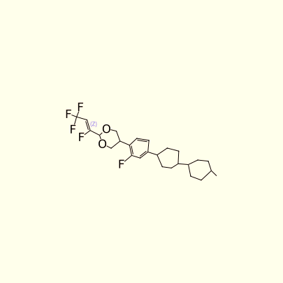 CC1CCC(C2CCC(c3ccc(C4COC(/C(F)=C/C(F)(F)F)OC4)c(F)c3)CC2)CC1